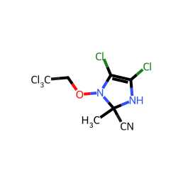 CC1(C#N)NC(Cl)=C(Cl)N1OCC(Cl)(Cl)Cl